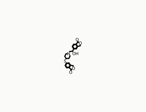 O=C1OCc2cc(SC3CCN(CC(O)c4ccc5c(c4)COC5=O)CC3)ccc21